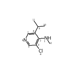 CNc1c(Cl)cncc1C(C)C